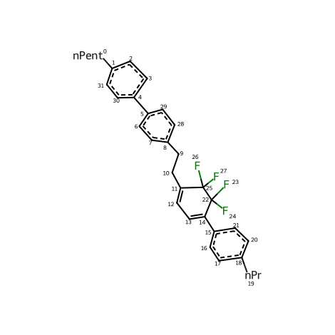 CCCCCc1ccc(-c2ccc(CCC3=CC=C(c4ccc(CCC)cc4)C(F)(F)C3(F)F)cc2)cc1